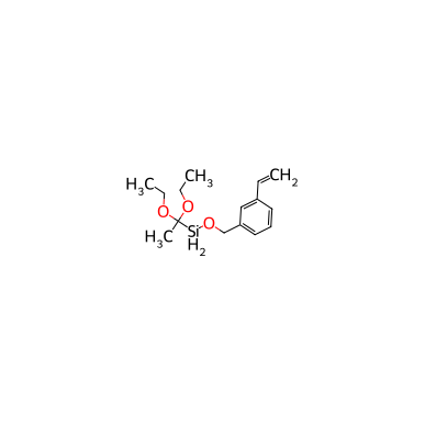 C=Cc1cccc(CO[SiH2]C(C)(OCC)OCC)c1